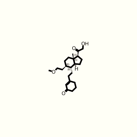 COCC[C@H]1CC[C@]2(C)[C@@H](C(=O)CO)CC[C@H]2[C@@H]1CCC1=CC(=O)CCC1